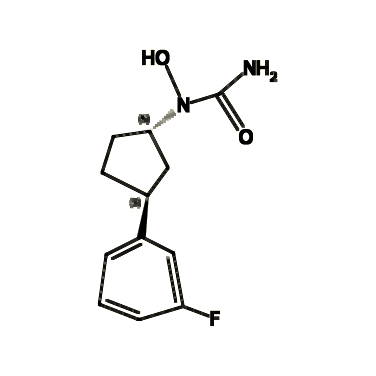 NC(=O)N(O)[C@H]1CC[C@H](c2cccc(F)c2)C1